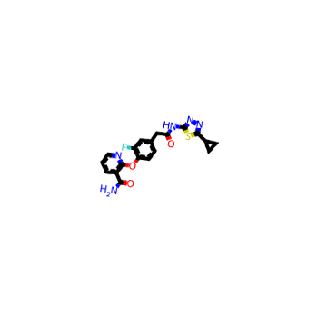 NC(=O)c1cccnc1Oc1ccc(CC(=O)Nc2nnc(C3CC3)s2)cc1F